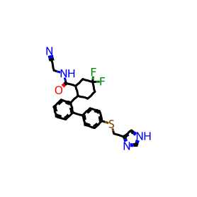 N#CCNC(=O)C1CC(F)(F)CCC1c1ccccc1-c1ccc(SCc2c[nH]cn2)cc1